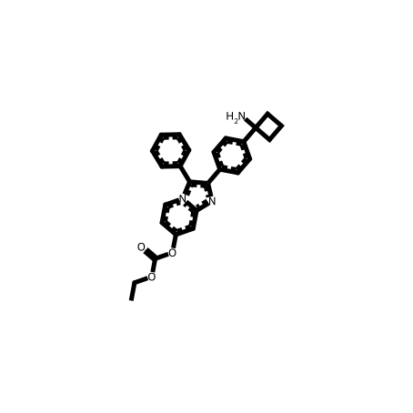 CCOC(=O)Oc1ccn2c(-c3ccccc3)c(-c3ccc(C4(N)CCC4)cc3)nc2c1